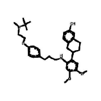 COc1cc(NCCCc2ccc(OCCN(C)C(C)(C)C)cc2)c(C2CCc3cc(O)ccc3C2)cc1OC